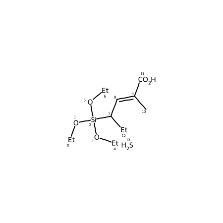 CCO[Si](OCC)(OCC)C(C=C(C)C(=O)O)CC.S